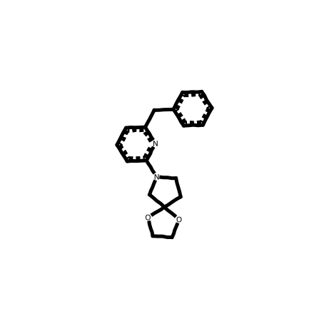 c1ccc(Cc2cccc(N3CCC4(C3)OCCO4)n2)cc1